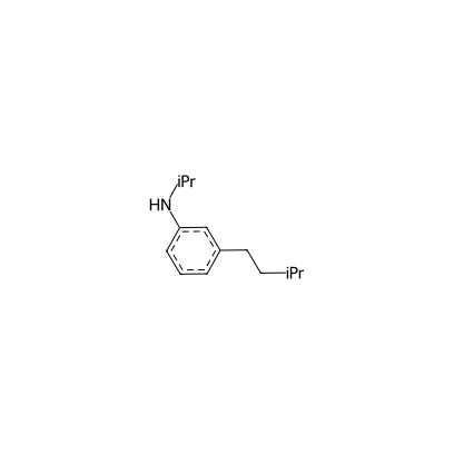 CC(C)CCc1cccc(NC(C)C)c1